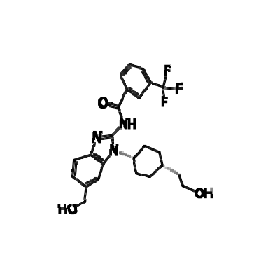 O=C(Nc1nc2ccc(CO)cc2n1[C@H]1CC[C@@H](CCO)CC1)c1cccc(C(F)(F)F)c1